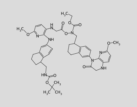 CCOC(=O)N(CC1CCCc2cc(N3C(=O)CNc4ccc(OC)nc43)ccc21)OC(=O)CNc1ccc(OC)nc1Nc1ccc2c(c1)CCCC2CNC(=O)OC(C)(C)C